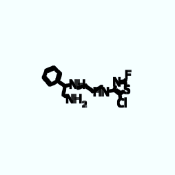 NCC(NCCCCNc1nc(F)sc1Cl)c1ccccc1